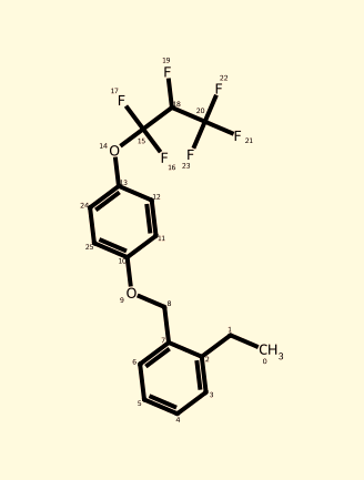 CCc1ccccc1COc1ccc(OC(F)(F)C(F)C(F)(F)F)cc1